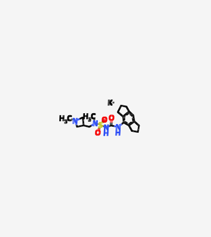 CN1CC(CN(C)S(=O)(=O)NC(=O)Nc2c3c(cc4c2CCC4)CCC3)C1.[K]